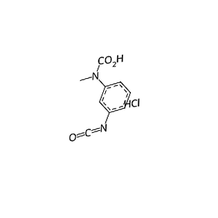 CN(C(=O)O)c1cccc(N=C=O)c1.Cl